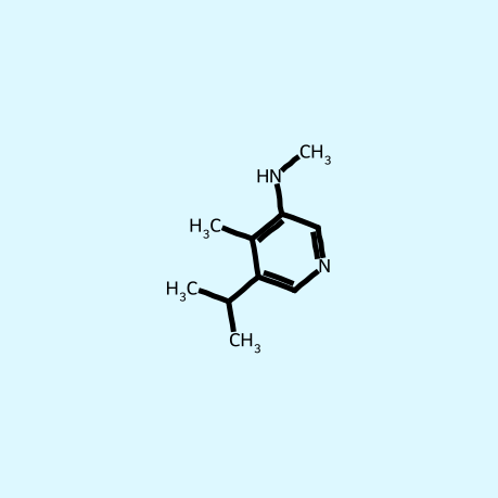 CNc1cncc(C(C)C)c1C